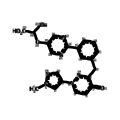 Cn1cc(-n2ccc(=O)c(Cc3cccc(-c4ncc(OC(C(=O)O)C(C)(C)C)cn4)c3)n2)cn1